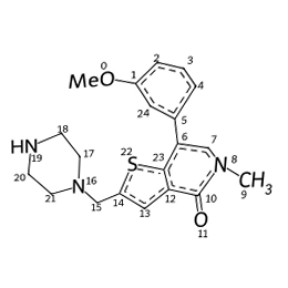 COc1cccc(-c2cn(C)c(=O)c3cc(CN4CCNCC4)sc23)c1